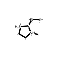 CC(C)NN1[SiH2]CC[SiH]1C